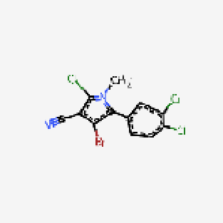 [CH2]n1c(Cl)c(C#N)c(Br)c1-c1ccc(Cl)c(Cl)c1